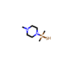 CN1CCN(S(C)(C)S)CC1